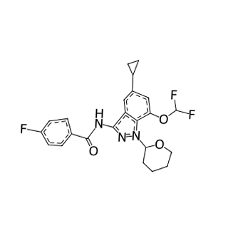 O=C(Nc1nn(C2CCCCO2)c2c(OC(F)F)cc(C3CC3)cc12)c1ccc(F)cc1